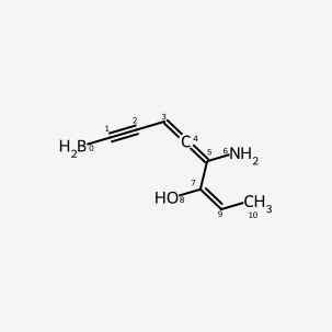 BC#CC=C=C(N)/C(O)=C\C